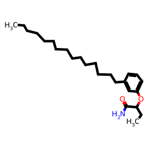 CCCCCCCCCCCCCCCc1cccc(OC(CC)C(N)=O)c1